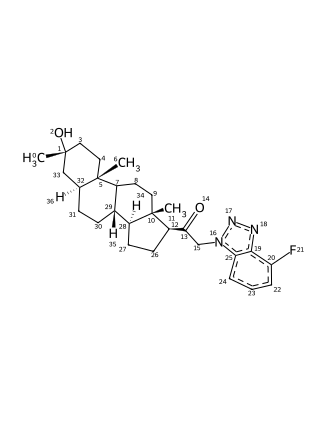 C[C@@]1(O)CC[C@]2(C)C3CC[C@]4(C)[C@@H](C(=O)Cn5nnc6c(F)cccc65)CC[C@H]4[C@@H]3CC[C@H]2C1